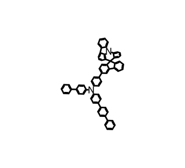 c1ccc(-c2ccc(-c3ccc(N(c4ccc(-c5ccccc5)cc4)c4ccc(-c5ccc6c(c5)-c5ccccc5C65c6ccccc6-n6c7ccccc7c7cccc5c76)cc4)cc3)cc2)cc1